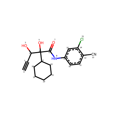 C#CC(O)C(O)(C(=O)Nc1ccc(C#N)c(Cl)c1)C1CCCCC1